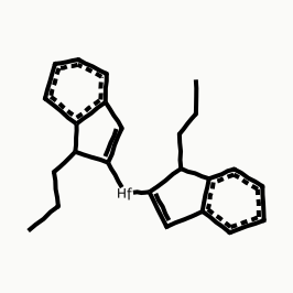 CCCC1[C]([Hf][C]2=Cc3ccccc3C2CCC)=Cc2ccccc21